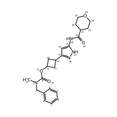 CN(Cc1ccccc1)C(=O)OC1CC(c2cc(NC(=O)C3CCOCC3)[nH]n2)C1